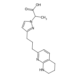 CC(C(=O)O)n1ccc(CCCc2ccc3c(n2)NCCC3)n1